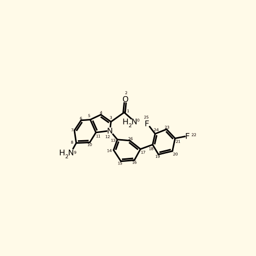 NC(=O)c1cc2ccc(N)cc2n1-c1cccc(-c2ccc(F)cc2F)c1